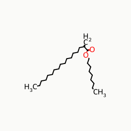 C=C(CCCCCCCCCCCCCCC)C(=O)OCCCCCCCCC